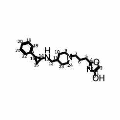 Oc1coc(CCCN2CCC(CNC3CC3c3ccccc3)CC2)n1